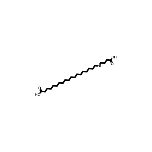 O=C(O)CCCCCCCCCCCCCCCCCCNCCCC(=O)O